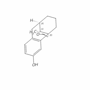 C[C@@]12OCCC[C@@]13CCC[C@@H]2Cc1ccc(O)cc13